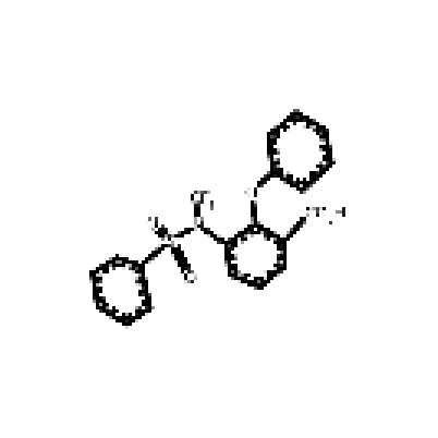 O=C(O)c1cccc(N(C(F)(F)F)S(=O)(=O)c2ccccc2)c1Oc1ccccc1